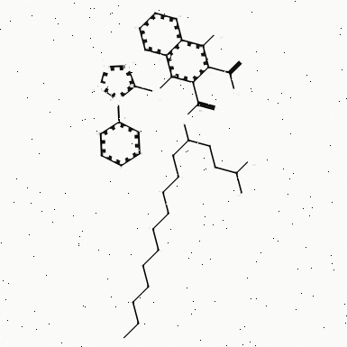 CCCCCCCCCCCC(CCC(C)Cl)OC(=O)c1c(C(N)=O)c(O)c2ccccc2c1Sc1nnnn1-c1ccccc1